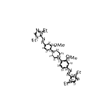 CCn1nc[n+](CC)c1N=Nc1ccc(N2CCN(c3ccc(N=Nc4n(CC)nc[n+]4CC)cc3OC)CC2)c(OC)c1